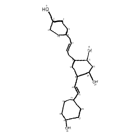 OC1CCC(/C=C/C2CC(/C=C/C3CCC(O)CC3)C(O)CC2O)CC1